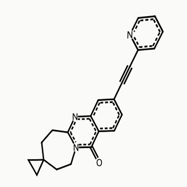 O=c1c2ccc(C#Cc3ccccn3)cc2nc2n1CCC1(CC2)CC1